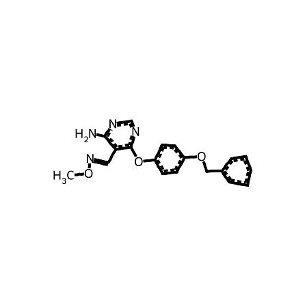 CO/N=C/c1c(N)ncnc1Oc1ccc(OCc2ccccc2)cc1